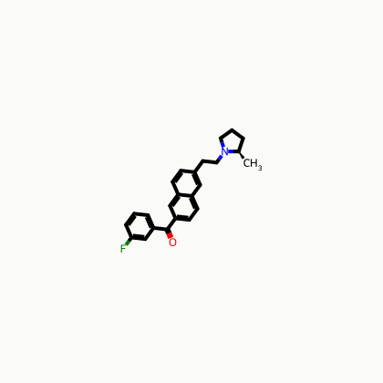 C[C@@H]1CCCN1CCc1ccc2cc(C(=O)c3cccc(F)c3)ccc2c1